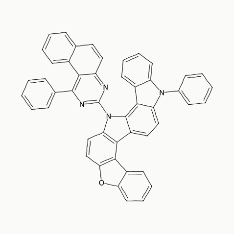 c1ccc(-c2nc(-n3c4ccc5oc6ccccc6c5c4c4ccc5c(c6ccccc6n5-c5ccccc5)c43)nc3ccc4ccccc4c23)cc1